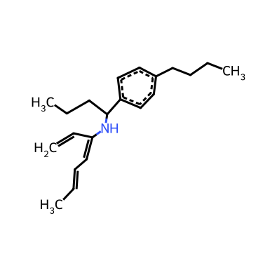 C=C/C(=C\C=C\C)NC(CCC)c1ccc(CCCC)cc1